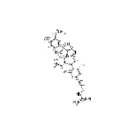 COc1cc(C(C)(C)c2cnc(SCc3c(F)cc(C#CCNC(=N)N)cc3F)n2-c2ccc(F)cc2)ccc1Cl